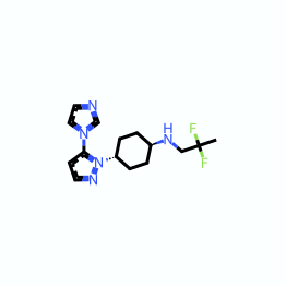 CC(F)(F)CN[C@H]1CC[C@H](n2nccc2-n2ccnc2)CC1